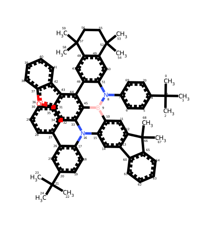 CC(C)(C)c1ccc(N2B3c4cc5c(cc4N(c4ccc(C(C)(C)C)cc4-c4ccccc4)c4cc6oc7ccccc7c6c(c43)-c3cc4c(cc32)C(C)(C)CCC4(C)C)-c2ccccc2C5(C)C)cc1